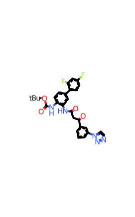 CC(C)(C)OC(=O)Nc1ccc(-c2ccc(F)cc2F)cc1NC(=O)CC(=O)c1cccc(-n2ccnn2)c1